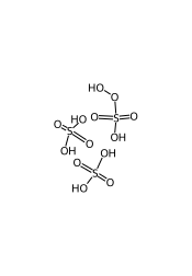 O=S(=O)(O)O.O=S(=O)(O)O.O=S(=O)(O)OO